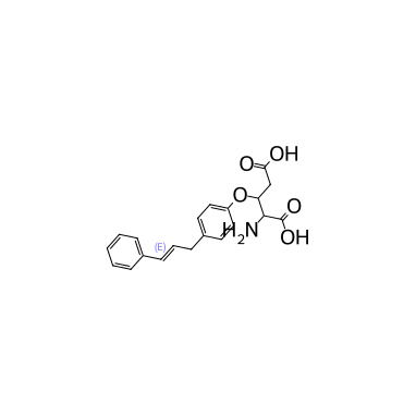 NC(C(=O)O)C(CC(=O)O)Oc1ccc(C/C=C/c2ccccc2)cc1